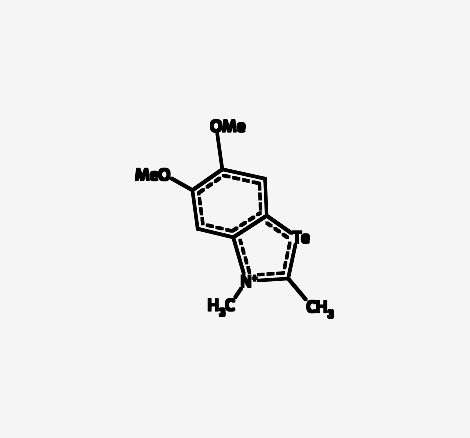 COc1cc2[te]c(C)[n+](C)c2cc1OC